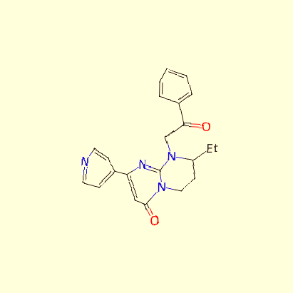 CCC1CCn2c(nc(-c3ccncc3)cc2=O)N1CC(=O)c1ccccc1